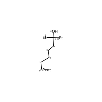 CCCCCCCCCC(O)(CC)CC